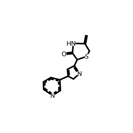 C=C1CSC(C2=NCC(c3cccnc3)=C2)C(=O)N1